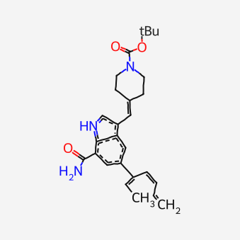 C=C/C=C\C(=C/C)c1cc(C(N)=O)c2[nH]cc(C=C3CCN(C(=O)OC(C)(C)C)CC3)c2c1